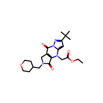 CCOC(=O)Cn1c2c(c(=O)n3nc(C(C)(C)C)cc13)CN(CC1CCOCC1)C2=O